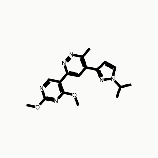 COc1ncc(-c2cc(-c3ccn(C(C)C)n3)c(C)nn2)c(OC)n1